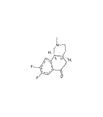 CN1CC[C@H]2CC(=O)c3cc(F)c(F)cc3[C@H]2C1